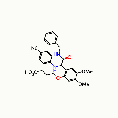 COc1cc(OCCCC(=O)O)c(C(Nc2ccc(C#N)cc2)C(=O)NCc2ccccc2)cc1OC